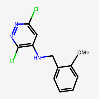 COc1ccccc1CNc1cc(Cl)nnc1Cl